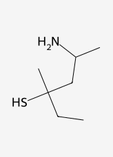 CCC(C)(S)CC(C)N